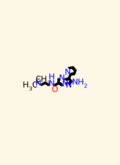 CN(C)CCCNC(=O)c1cnc2c(-c3ccccn3)c(N)nn2c1